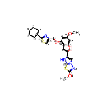 COC1=NN2C=C(c3cc4c(OCc5csc(C6CCCCC6)n5)cc(OC)cc4o3)NC2S1